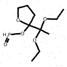 CCOC(C)(OCC)C1(O[PH2]=O)CCCO1